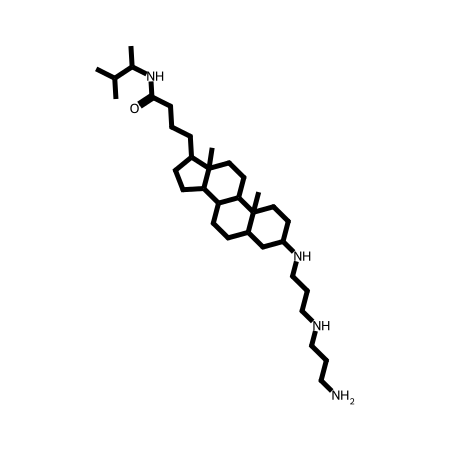 CC(C)C(C)NC(=O)CCCC1CCC2C3CCC4CC(NCCCNCCCN)CCC4(C)C3CCC12C